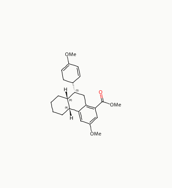 COC(=O)c1cc(OC)cc2c1C[C@@H](C1C=CC(OC)=CC1)[C@H]1CCCC[C@@H]21